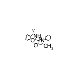 Cc1cc(=O)c(C(=O)NC(c2ccccc2)C2CC2)nn1-c1ccccc1